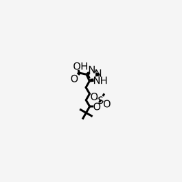 CC(C)(C)C(CCCc1[nH]nnc1C(=O)O)OS(C)(=O)=O